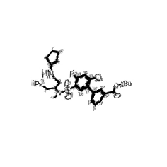 CC(C)CC(CNC1CCCC1)N(C)S(=O)(=O)c1cc(-c2cccc(C(=O)OC(C)(C)C)c2)c(Cl)cc1F